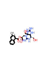 N=C1NC2[C@H](CO)NC(=N)N(C[C@@H](CO)OC(=O)c3cc(C(F)(F)F)cc4ccccc34)C2(CO)N1